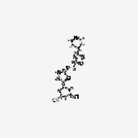 Clc1cc(Cl)cc(-c2nnc(SCc3nc(-c4ccncc4)no3)o2)c1